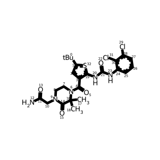 CC(C)(C)c1cc(C(=O)N2CCN(CC(N)=O)C(=O)C2(C)C)c(NC(=O)Nc2cccc(Cl)c2Cl)s1